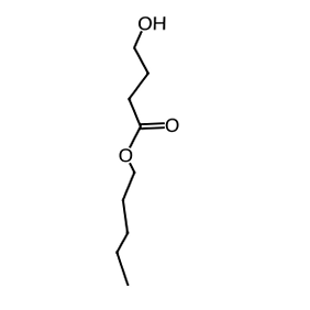 CCCCCOC(=O)CCCO